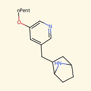 CCCCCOc1cncc(CC2CC3CCC2N3)c1